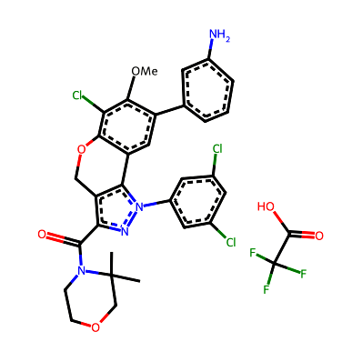 COc1c(-c2cccc(N)c2)cc2c(c1Cl)OCc1c(C(=O)N3CCOCC3(C)C)nn(-c3cc(Cl)cc(Cl)c3)c1-2.O=C(O)C(F)(F)F